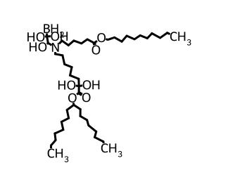 BC(O)(O)C(O)N(CCCCCCC(O)(O)C(=O)OC(CCCCCCCC)CCCCCCCC)CCCCCC(=O)OCCCCCCCCCCC